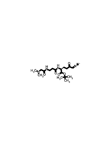 CN(C)CC(=O)NCCC(=O)N[C@@H](CCC(=O)C=[N+]=[N-])C(=O)OC(C)(C)C